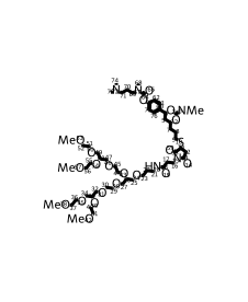 CNC(=O)OC(CCCCCSC1CC(=O)N(CCC(=O)NCCCOCC(COCCOCC(COCCOC)OCCOC)OCCOCC(COCCOC)OCCOC)C1=O)c1ccc(OC(=O)N(C)CCCN(C)C)cc1